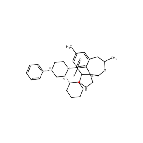 Cc1cc(F)c2c(c1)CC(C)OC[C@]21CNCC1C(=O)N1CC[C@@H](c2ccccc2)C[C@H]1C1CCCCC1